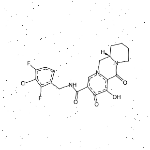 O=C(NCc1ccc(F)c(Cl)c1F)c1cn2c(c(O)c1=O)C(=O)N1CCCC[C@H]1C2